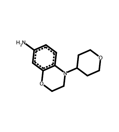 Nc1ccc2c(c1)OCCN2C1CCOCC1